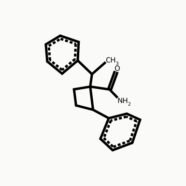 CC(c1ccccc1)C1(C(N)=O)CCC1c1ccccc1